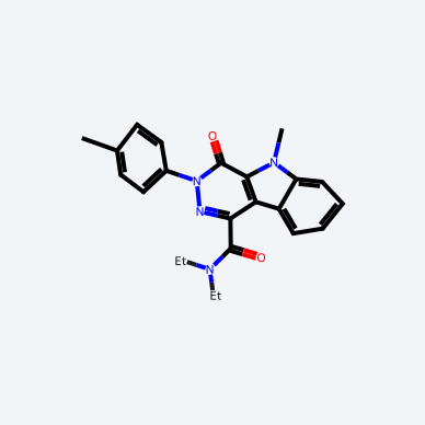 CCN(CC)C(=O)c1nn(-c2ccc(C)cc2)c(=O)c2c1c1ccccc1n2C